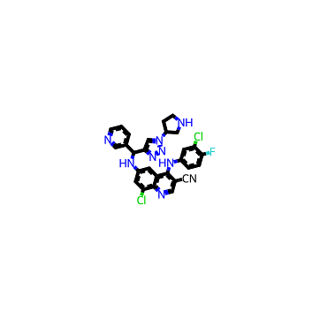 N#Cc1cnc2c(Cl)cc(NC(c3cccnc3)c3cn(C4CCNC4)nn3)cc2c1Nc1ccc(F)c(Cl)c1